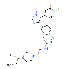 CCC(C)N1CCN(CCNc2cnc3ccc(-c4nc[nH]c4-c4ccc(F)c(F)c4)cc3c2)CC1